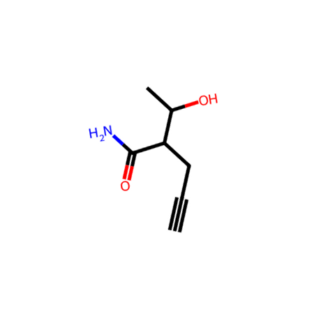 C#CCC(C(N)=O)C(C)O